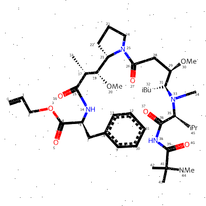 C=CCOC(=O)[C@H](Cc1ccccc1)NC(=O)[C@H](C)[C@@H](OC)[C@@H]1CCCN1C(=O)C[C@@H](OC)[C@H]([C@@H](C)CC)N(C)[C@H](C(=O)NC(=O)C(C)(C)NC)C(C)C